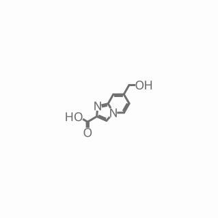 O=C(O)c1cn2ccc(CO)cc2n1